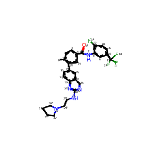 Cc1ccc(C(=O)Nc2cc(C(F)(F)F)ccc2F)cc1-c1ccc2nc(NCCN3CCCC3)ncc2c1